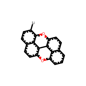 [Li][c]1ccc2ccc3oc4cccc5ccc6oc1c2c3-c6c54